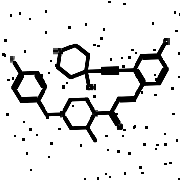 CC1CN(Cc2ccc(F)cc2)CCN1C(=O)C=Cc1ccc(Cl)cc1C#CC1(O)CCNCC1